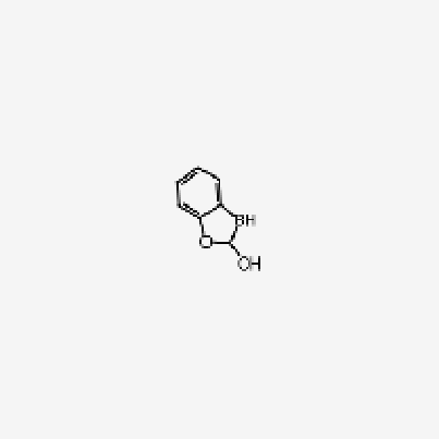 OC1Bc2ccccc2O1